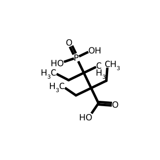 CCC(CC)(C(=O)O)C(C)(CC)P(=O)(O)O